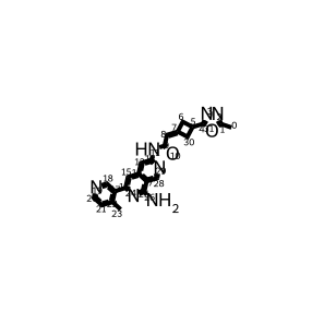 Cc1nnc(C2CC(=CC(=O)Nc3cc4cc(-c5cnccc5C)nc(N)c4cn3)C2)o1